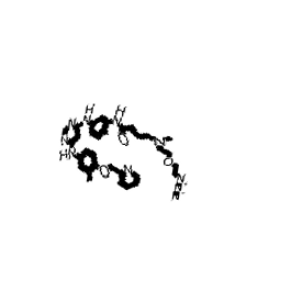 Cc1cc(Nc2cc(Nc3cccc(NC(=O)/C=C/CN(C)CCOCCN=[N+]=[N-])c3)ncn2)ccc1OCc1ccccn1